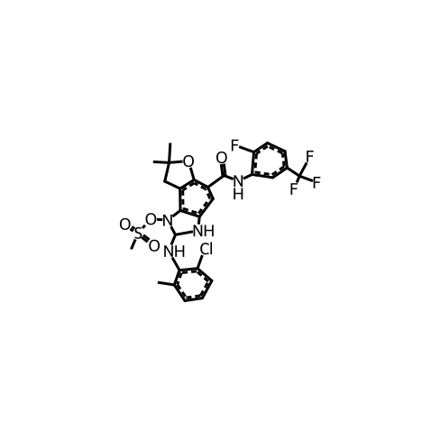 Cc1cccc(Cl)c1NC1Nc2cc(C(=O)Nc3cc(C(F)(F)F)ccc3F)c3c(c2N1OS(C)(=O)=O)CC(C)(C)O3